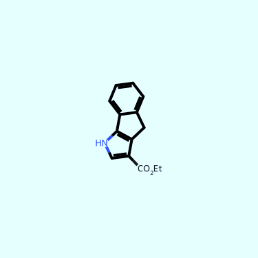 CCOC(=O)c1c[nH]c2c1Cc1ccccc1-2